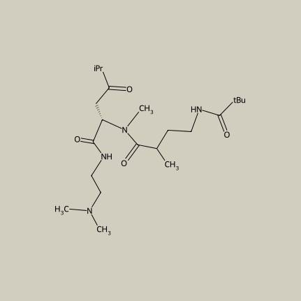 CC(C)C(=O)C[C@@H](C(=O)NCCN(C)C)N(C)C(=O)C(C)CCNC(=O)C(C)(C)C